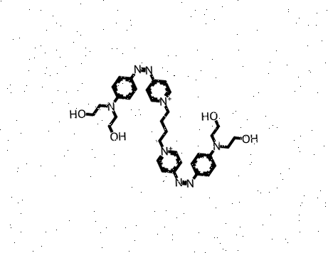 OCCN(CCO)c1ccc(/N=N\c2cc[n+](CCCC[n+]3ccc(/N=N\c4ccc(N(CCO)CCO)cc4)cc3)cc2)cc1